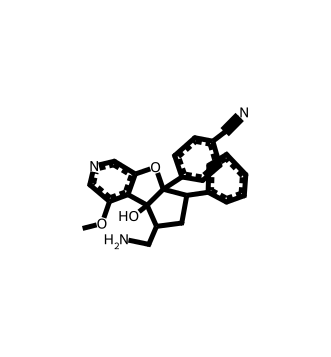 COc1cncc2c1C1(O)C(CN)CC(c3ccccc3)C1(c1ccc(C#N)cc1)O2